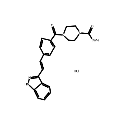 COC(=O)N1CCN(C(=O)c2ccc(C=Cc3n[nH]c4ccccc34)cc2)CC1.Cl